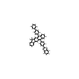 CC1(C)c2ccccc2-c2cc3c(-c4ccc(-c5nc6ccccc6o5)cc4)c4ccccc4c(-c4ccc(-c5ccccc5)cc4)c3cc21